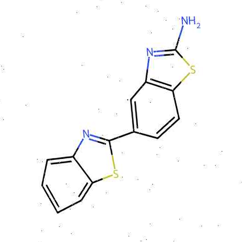 Nc1nc2[c]c(-c3nc4ccccc4s3)ccc2s1